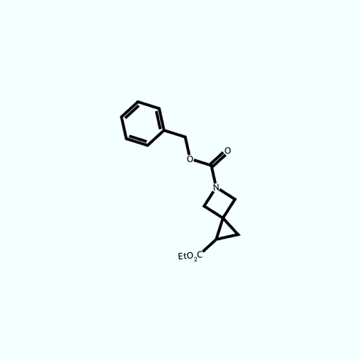 CCOC(=O)C1CC12CN(C(=O)OCc1ccccc1)C2